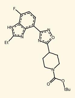 CCc1nc2c(-c3noc(C4CCN(C(=O)OC(C)(C)C)CC4)n3)ccc(F)c2[nH]1